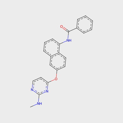 CNc1nccc(Oc2ccc3c(NC(=O)c4ccccc4)cccc3c2)n1